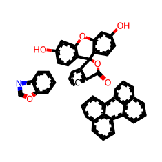 O=C1OC2(c3ccc(O)cc3Oc3cc(O)ccc32)c2ccccc21.c1cc2cccc3c4cccc5cccc(c(c1)c23)c54.c1ccc2ocnc2c1